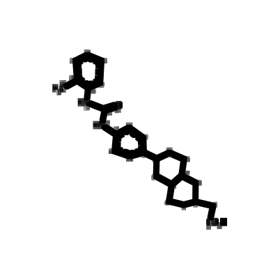 O=C(O)CC1CCC2CC(c3ccc(NC(=O)Nc4ccccc4C(F)(F)F)cc3)CCC2C1